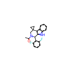 CC(=O)N1CC2(CC2)c2c([nH]c3ccccc23)C1c1c(F)cccc1F